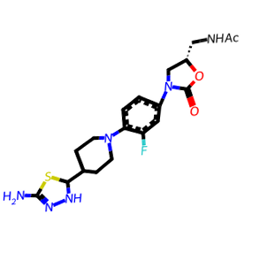 CC(=O)NC[C@H]1CN(c2ccc(N3CCC(C4NN=C(N)S4)CC3)c(F)c2)C(=O)O1